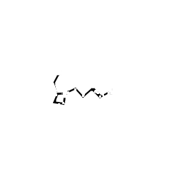 CC(C)/C=C/CCN1CC[C@H]1CC(C)C